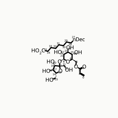 C=CC(=O)OC[C@H]1O[C@H](O[C@]2(CO)O[C@H](CO)[C@@H](O)[C@@H]2O)[C@H](O)[C@@H](O)[C@@H]1O.CCCCCCCCCCCCCCCCCC(=O)O